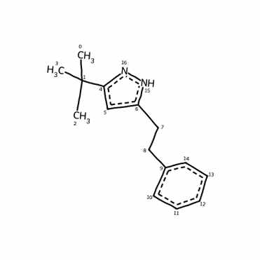 CC(C)(C)c1cc(CCc2ccccc2)[nH]n1